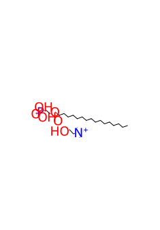 CCCCCCCCCCCCCCCC(=O)OCCP(=O)(O)O.C[N+](C)(C)CCO